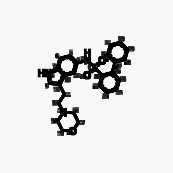 O=S(=O)(Nc1ccc2[nH]cc(CCN3CCOCC3)c2c1)c1ccccc1-c1ccccc1